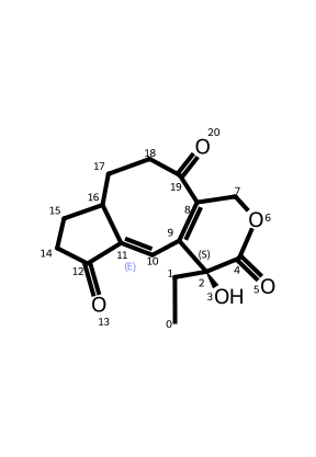 CC[C@@]1(O)C(=O)OCC2=C1/C=C1/C(=O)CCC1CCC2=O